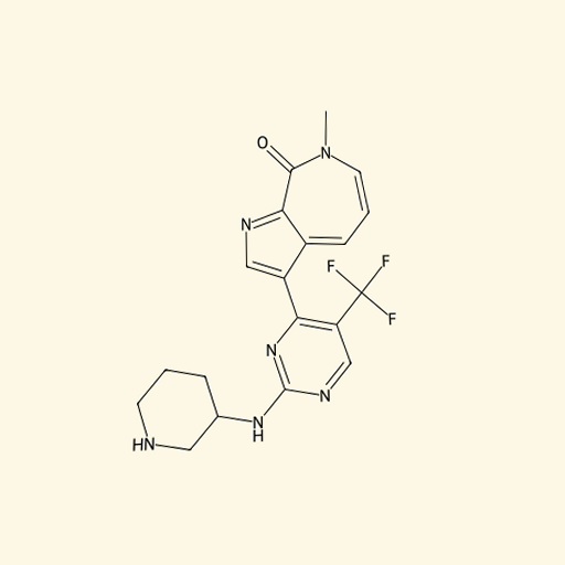 Cn1cccc2c(-c3nc(NC4CCCNC4)ncc3C(F)(F)F)cnc-2c1=O